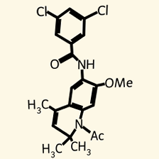 COc1cc2c(cc1NC(=O)c1cc(Cl)cc(Cl)c1)C(C)=CC(C)(C)N2C(C)=O